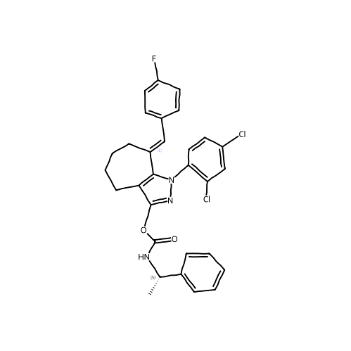 C[C@H](NC(=O)Oc1nn(-c2ccc(Cl)cc2Cl)c2c1CCCC/C2=C\c1ccc(F)cc1)c1ccccc1